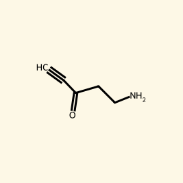 C#CC(=O)CCN